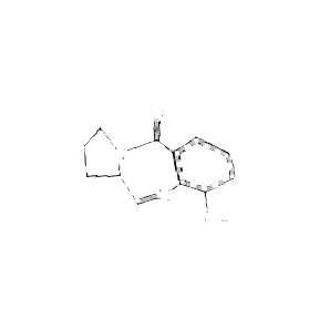 CC(=O)Oc1cccc2c1N=CC1CCCN1C2=O